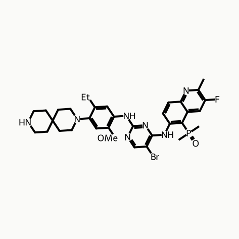 CCc1cc(Nc2ncc(Br)c(Nc3ccc4nc(C)c(F)cc4c3P(C)(C)=O)n2)c(OC)cc1N1CCC2(CCNCC2)CC1